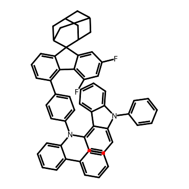 Fc1cc(F)c2c(c1)C1(c3cccc(-c4ccc(N(c5ccccc5-c5ccccc5)c5cccc6c5c5ccccc5n6-c5ccccc5)cc4)c3-2)C2CC3CC(C2)CC1C3